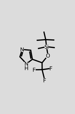 CC(C)(C)[Si](C)(C)OC(c1cnc[nH]1)C(F)(F)F